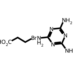 Nc1nc(N)nc(N)n1.O=C(O)CCBr